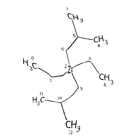 C[CH2][Zr]([CH2]C)([CH2]C(C)C)[CH2]C(C)C